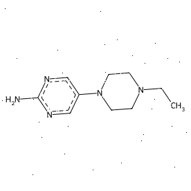 CCN1CCN(c2cnc(N)nc2)CC1